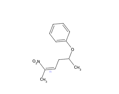 C/C(=C/CC(C)Oc1ccccc1)[N+](=O)[O-]